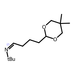 CC1(C)COC(CCC/C=N\C(C)(C)C)OC1